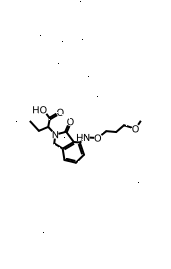 CCC(C(=O)O)N1Cc2cccc(NOCCCOC)c2C1=O